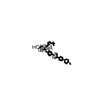 CC[C@H]1CC[C@H](c2ccc(-c3cnc(-c4ccc(C[C@@H](NC(=O)c5ccc(C(C)(C)C)s5)C(=O)N[C@H](C)C(O)O)cc4)nc3)cc2)CC1